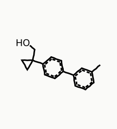 Cc1cccc(-c2ccc(C3(CO)CC3)cc2)c1